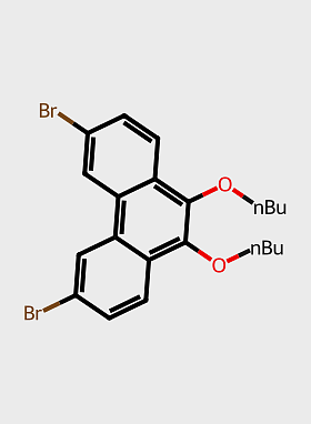 CCCCOc1c(OCCCC)c2ccc(Br)cc2c2cc(Br)ccc12